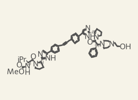 COC(=O)N[C@H](C(=O)N1CCC[C@H]1c1ncc(-c2ccc(C#Cc3ccc(-c4cnc([C@@H]5CCCN5C(=O)[C@@H](c5ccccc5)N5CCN(CCO)CC5)[nH]4)cc3)cc2)[nH]1)C(C)C